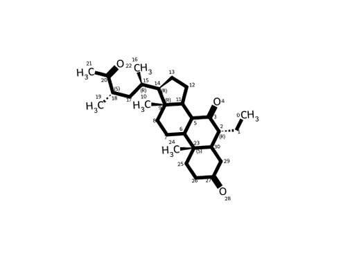 CC[C@H]1C(=O)C2C(CC[C@@]3(C)C2CC[C@@H]3[C@H](C)C[C@H](C)C(C)=O)[C@@]2(C)CCC(=O)CC12